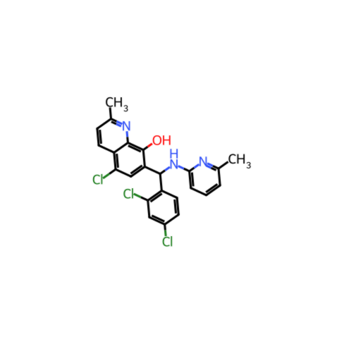 Cc1cccc(NC(c2ccc(Cl)cc2Cl)c2cc(Cl)c3ccc(C)nc3c2O)n1